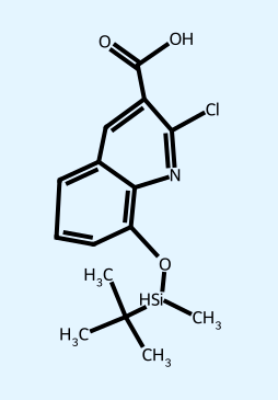 C[SiH](Oc1cccc2cc(C(=O)O)c(Cl)nc12)C(C)(C)C